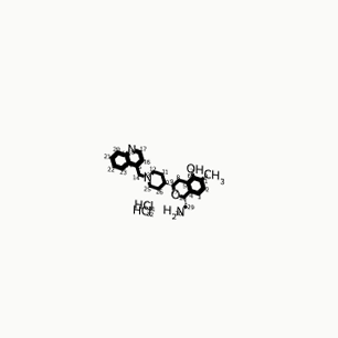 Cc1ccc2c(c1O)C[C@@H](C1CCN(Cc3ccnc4ccccc34)CC1)O[C@H]2CN.Cl.Cl